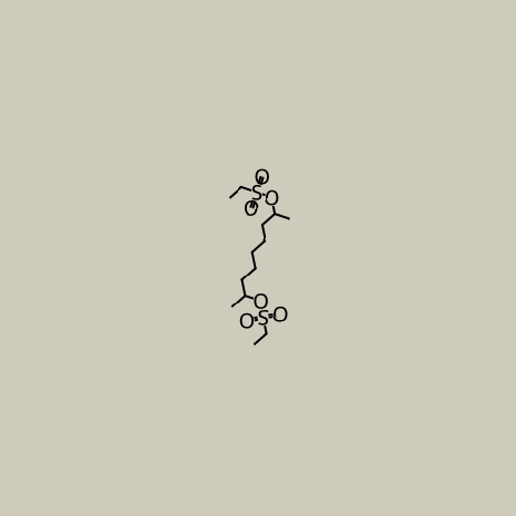 CCS(=O)(=O)OC(C)CCCCCC(C)OS(=O)(=O)CC